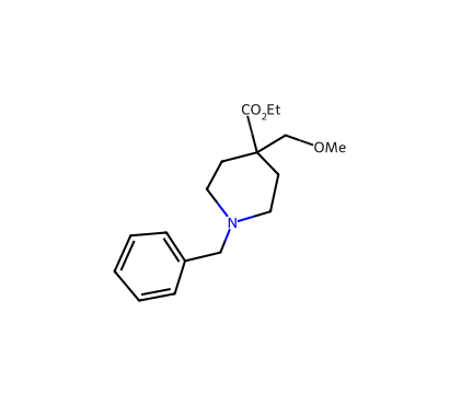 CCOC(=O)C1(COC)CCN(Cc2ccccc2)CC1